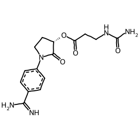 N=C(N)c1ccc(N2CC[C@H](OC(=O)CCNC(N)=O)C2=O)cc1